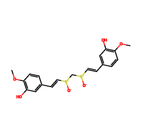 COc1ccc(C=C[S+]([O-])C[S+]([O-])C=Cc2ccc(OC)c(O)c2)cc1O